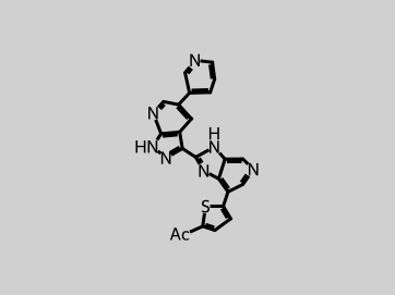 CC(=O)c1ccc(-c2cncc3[nH]c(-c4n[nH]c5ncc(-c6cccnc6)cc45)nc23)s1